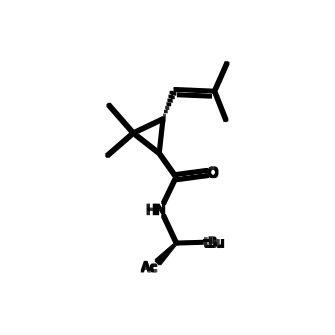 CC(=O)[C@@H](NC(=O)C1[C@@H](C=C(C)C)C1(C)C)C(C)(C)C